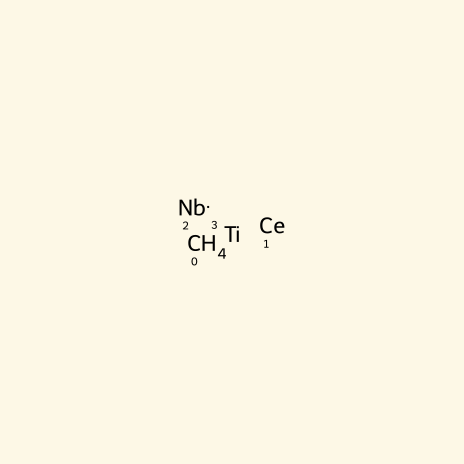 C.[Ce].[Nb].[Ti]